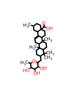 CC1CCC2(C(=O)O)CCC3C(=CCC4C3(C)CCC3C(C)(C)C(CC5OC(C)C(O)C(O)C5O)CCC34C)C2C1